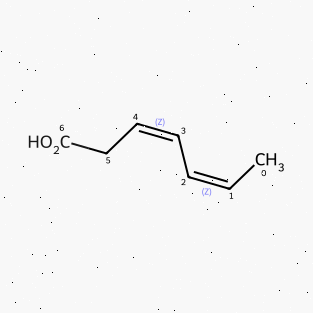 C/C=C\C=C/CC(=O)O